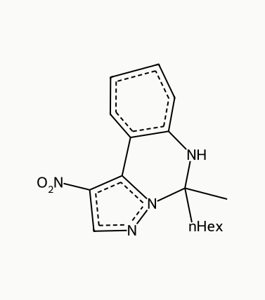 CCCCCCC1(C)Nc2ccccc2-c2c([N+](=O)[O-])cnn21